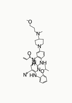 C=CC(=O)Nc1cc(N2CCC(N(C)CCCOC)CC2)ccc1Nc1ncc(C#N)c(Nc2ccccc2OC(C)C)n1